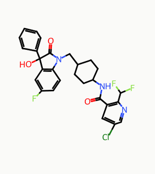 O=C(NC1CCC(CN2C(=O)C(O)(c3ccccc3)c3cc(F)ccc32)CC1)c1cc(Cl)cnc1C(F)F